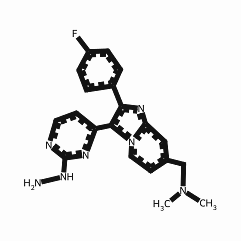 CN(C)Cc1ccn2c(-c3ccnc(NN)n3)c(-c3ccc(F)cc3)nc2c1